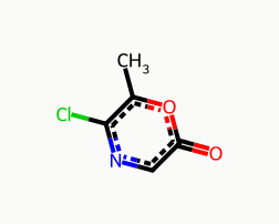 Cc1oc(=O)cnc1Cl